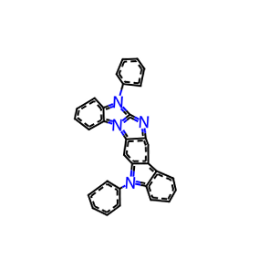 c1ccc(-n2c3ccccc3c3cc4nc5n(-c6ccccc6)c6ccccc6n5c4cc32)cc1